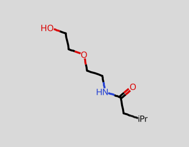 CC(C)CC(=O)NCCOCCO